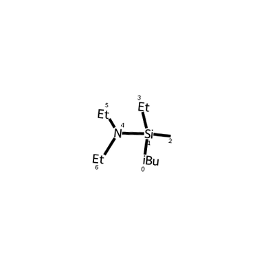 CCC(C)[Si](C)(CC)N(CC)CC